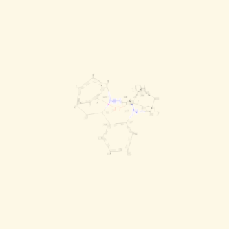 C[SiH](C)Oc1cc2ccc1NC(c1ccccc1N1CCCC1)C2